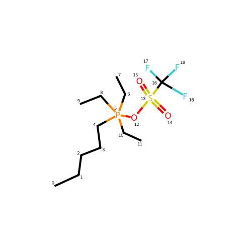 CCCCCP(CC)(CC)(CC)OS(=O)(=O)C(F)(F)F